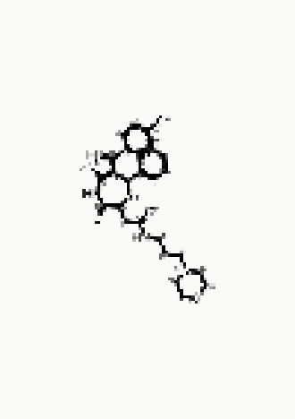 O=C(CC1SC(c2ccccc2)c2c(n[nH]c2-c2ccc(Cl)cc2)NC1=O)NCCCN1CCOCC1